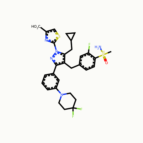 C[SH](N)(=O)c1ccc(Cc2c(-c3cccc(N4CCC(F)(F)CC4)c3)nn(-c3nc(C(=O)O)cs3)c2CC2CC2)cc1F